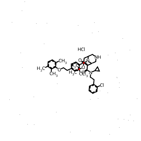 Cc1ccc(C)c(OCCc2ccc(C3=C(C(=O)N(CCc4ccccc4Cl)C4CC4)C4CNCC(C3)N4C(=O)OC(C)(C)C(Cl)(Cl)Cl)cc2)c1C.Cl